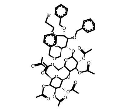 CC(=O)OC[C@H]1O[C@@H](O[C@@H]2[C@H](OC(C)=O)[C@@H](OC(C)=O)[C@H](O[C@H]3[C@H](OCc4ccccc4)[C@@H](OCc4ccccc4)[C@@H](OCCBr)O[C@@H]3COCc3ccccc3)O[C@@H]2COC(C)=O)[C@H](OC(C)=O)[C@@H](OC(C)=O)[C@H]1OC(C)=O